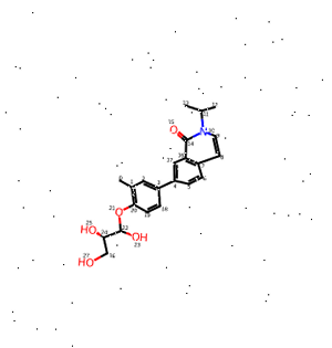 Cc1cc(-c2ccc3ccn(C(C)C)c(=O)c3c2)ccc1OC(O)[C@H](O)CO